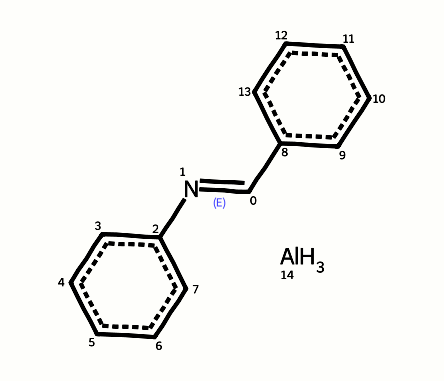 C(=N\c1ccccc1)/c1ccccc1.[AlH3]